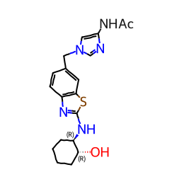 CC(=O)Nc1cn(Cc2ccc3nc(N[C@@H]4CCCC[C@H]4O)sc3c2)cn1